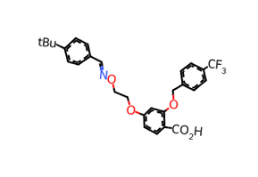 CC(C)(C)c1ccc(C=NOCCOc2ccc(C(=O)O)c(OCc3ccc(C(F)(F)F)cc3)c2)cc1